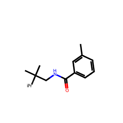 Cc1cccc(C(=O)NCC(C)(C)C(C)C)c1